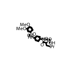 COc1ccc(S(=O)(=O)Nc2ccc(NC(=O)C(CC(C)C)P(=O)(O)O)cc2)cc1OC